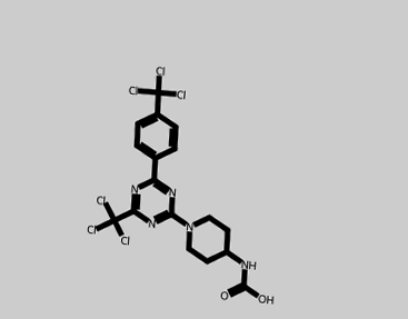 O=C(O)NC1CCN(c2nc(-c3ccc(C(Cl)(Cl)Cl)cc3)nc(C(Cl)(Cl)Cl)n2)CC1